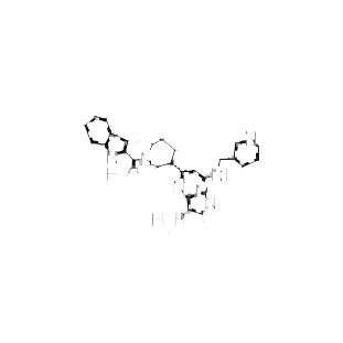 Bc1cnn2c(NCc3cccnc3)cc(C3CCCN(C(=O)c4cc5ccccc5[nH]4)C3)nc12